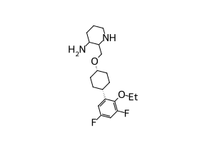 CCOc1c(F)cc(F)cc1[C@H]1CC[C@@H](OCC2NCCCC2N)CC1